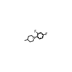 CC1CCN(c2ccc(F)cc2F)CC1